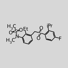 CCc1c(CS(=O)(=O)c2ccc(F)cc2C(C)C)cccc1N(C)S(C)(=O)=O